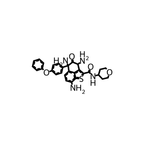 Nc1ccc2c3c(c(C(=O)NC4CCOCC4)sc13)C(N)C(=O)C2(N)c1ccc(Oc2ccccc2)cc1